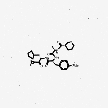 COc1ccc(C[C@H](NC(=O)[C@@H](C)NC(=O)[C@H]2CCCOC2)C(=O)N[C@@H](CC2CCCC2)C(=O)C2CO2)cc1